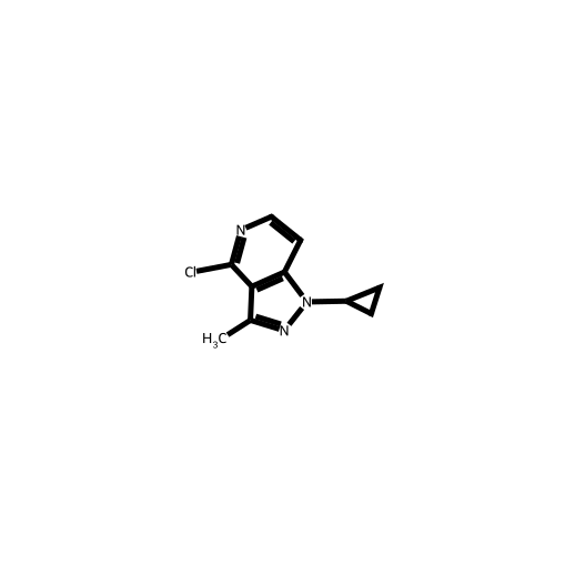 Cc1nn(C2CC2)c2ccnc(Cl)c12